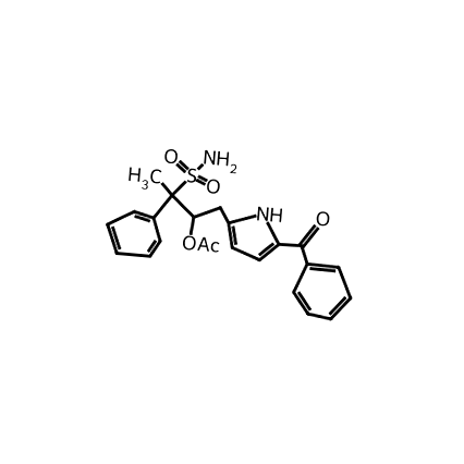 CC(=O)OC(Cc1ccc(C(=O)c2ccccc2)[nH]1)C(C)(c1ccccc1)S(N)(=O)=O